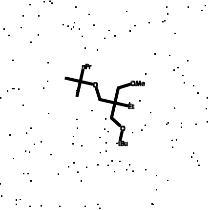 CCCC(C)(C)OCC(CC)(COC)COC(C)(C)C